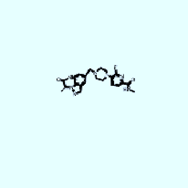 CNC(=O)c1ccc(N2CCN(Cc3cc4c5c(cnn5[C@@H](C)C(=O)N4)c3)CC2)c(F)n1